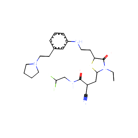 CCN1C(=O)C(CCNc2cccc(CCN3CCCC3)c2)SC1CC(C#N)C(=O)NCC(F)F